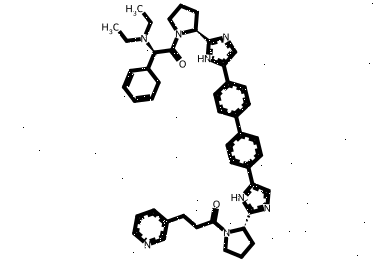 CCN(CC)[C@@H](C(=O)N1CCC[C@H]1c1ncc(-c2ccc(-c3ccc(-c4cnc([C@@H]5CCCN5C(=O)CCc5cccnc5)[nH]4)cc3)cc2)[nH]1)C1C=CC=CC1